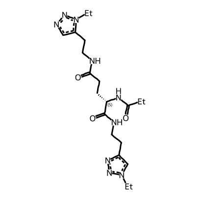 CCC(=O)N[C@@H](CCC(=O)NCCc1cnnn1CC)C(=O)NCCc1cn(CC)nn1